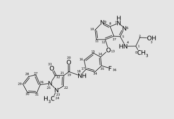 CC(CO)Nc1n[nH]c2nccc(Oc3ccc(NC(=O)c4cn(C)n(-c5ccccc5)c4=O)cc3F)c12